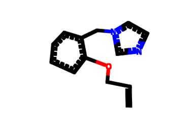 C=CCOc1ccccc1Cn1ccnc1